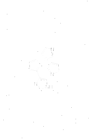 c1cnsc1.c1cocn1.c1csc(-c2c[nH]nn2)n1